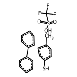 Cc1ccc(S)cc1.O=S(=O)(O)C(F)(F)F.c1ccc(-c2ccccc2)cc1